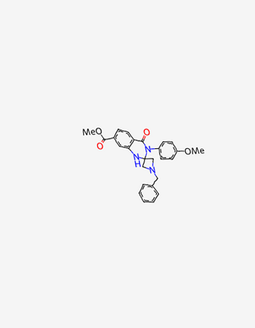 COC(=O)c1ccc2c(c1)NC1(CN(Cc3ccccc3)C1)N(c1ccc(OC)cc1)C2=O